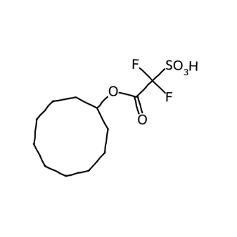 O=C(OC1CCCCCCCCC1)C(F)(F)S(=O)(=O)O